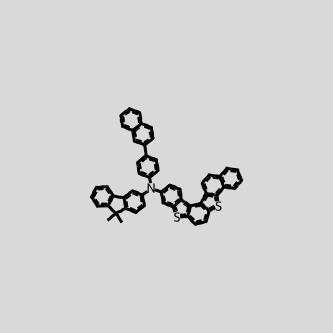 CC1(C)c2ccccc2-c2cc(N(c3ccc(-c4ccc5ccccc5c4)cc3)c3ccc4c(c3)sc3ccc5sc6c7ccccc7ccc6c5c34)ccc21